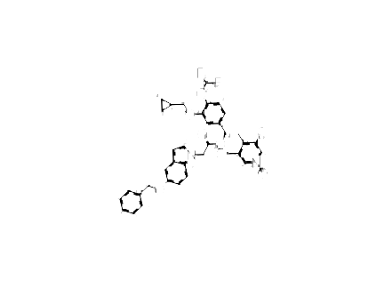 O=C(Cn1ccc2cc(OCc3ccccc3)ccc21)O[C@@H](Cc1c(Cl)c[n+]([O-])cc1Cl)c1ccc(OC(F)F)c(OCC2CC2)c1